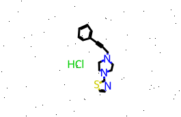 C(#Cc1ccccc1)CN1CCN(c2nccs2)CC1.Cl